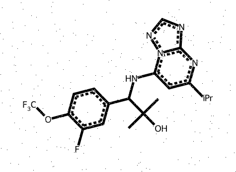 CC(C)c1cc(NC(c2ccc(OC(F)(F)F)c(F)c2)C(C)(C)O)n2ncnc2n1